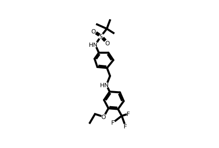 CCOc1cc(NCc2ccc(NS(=O)(=O)C(C)(C)C)cc2)ccc1C(F)(F)F